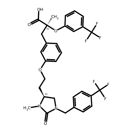 CN1C(=O)N(Cc2ccc(C(F)(F)F)cc2)C[C@@H]1CCOc1cccc(C[C@](C)(Oc2cccc(C(F)(F)F)c2)C(=O)O)c1